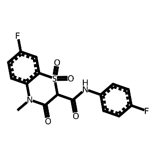 CN1C(=O)C(C(=O)Nc2ccc(F)cc2)S(=O)(=O)c2cc(F)ccc21